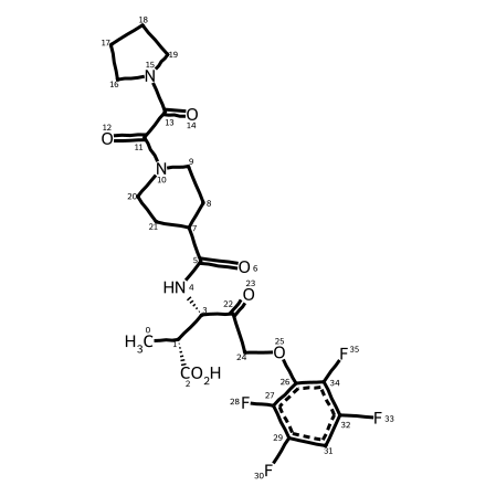 C[C@@H](C(=O)O)[C@H](NC(=O)C1CCN(C(=O)C(=O)N2CCCC2)CC1)C(=O)COc1c(F)c(F)cc(F)c1F